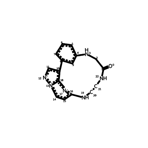 O=C1CNc2cccc(c2)-c2cnn3ccc(nc23)NCCN1